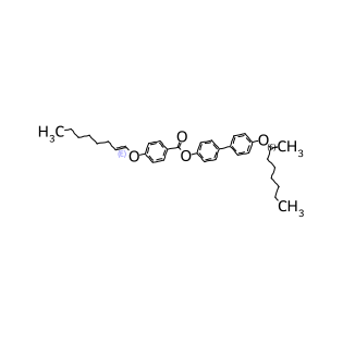 CCCCCC/C=C/Oc1ccc(C(=O)Oc2ccc(-c3ccc(O[C@@H](C)CCCCCC)cc3)cc2)cc1